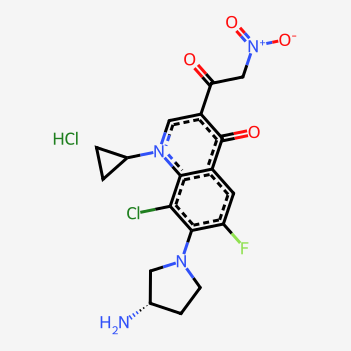 Cl.N[C@H]1CCN(c2c(F)cc3c(=O)c(C(=O)C[N+](=O)[O-])cn(C4CC4)c3c2Cl)C1